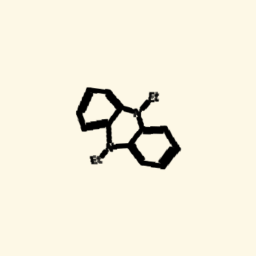 CCN1c2ccccc2N(CC)c2ccccc21